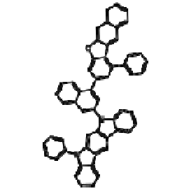 c1ccc(-c2cc(-c3cc(-n4c5ccccc5c5cc6c7ccccc7n(-c7ccccc7)c6cc54)cc4ccccc34)cc3oc4cc5ccccc5cc4c23)cc1